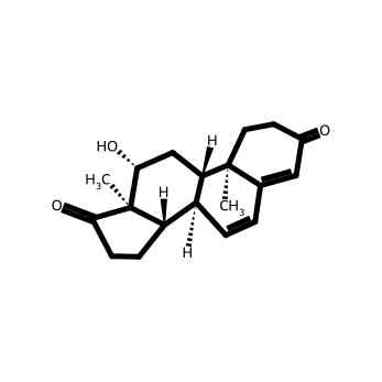 C[C@@]12C(=O)CC[C@H]1[C@@H]1C=CC3=CC(=O)CC[C@]3(C)[C@H]1C[C@H]2O